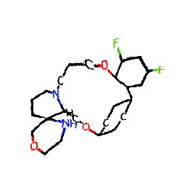 FC1CC(F)C2OCCCN3CCC[C@@]4(COCCN4)[C@@H]3COC3CCC(CC3)C2C1